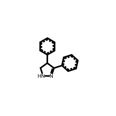 c1ccc(C2=NNCC2c2ccccc2)cc1